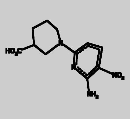 Nc1nc(N2CCCC(C(=O)O)C2)ccc1[N+](=O)[O-]